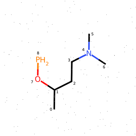 CC(CCN(C)C)OP